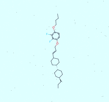 CCCCOc1ccc(OC/C=C/C2CCC([C@H]3CC[C@H](CCC)CC3)CC2)c(F)c1F